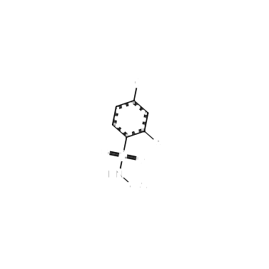 CC(=O)ONS(=O)(=O)c1ccc(Cl)cc1C(C)=O